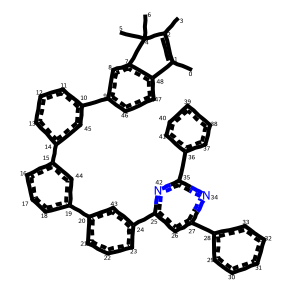 CC1=C(C)C(C)(C)c2cc(-c3cccc(-c4cccc(-c5cccc(-c6cc(-c7ccccc7)nc(-c7ccccc7)n6)c5)c4)c3)ccc21